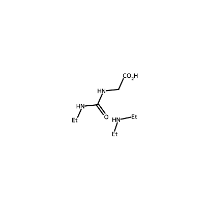 CCNC(=O)NCC(=O)O.CCNCC